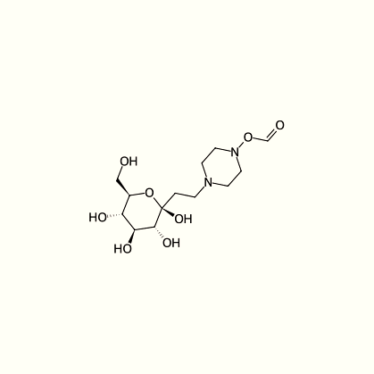 O=CON1CCN(CC[C@@]2(O)O[C@H](CO)[C@@H](O)[C@H](O)[C@H]2O)CC1